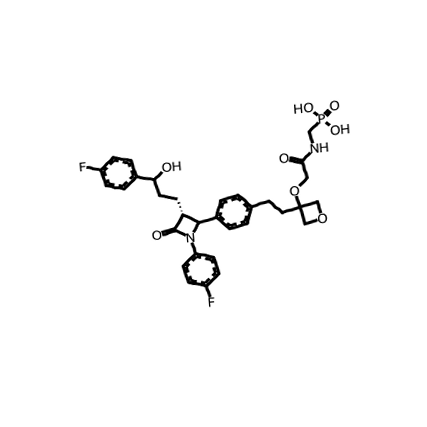 O=C(COC1(CCc2ccc(C3[C@@H](CCC(O)c4ccc(F)cc4)C(=O)N3c3ccc(F)cc3)cc2)COC1)NCP(=O)(O)O